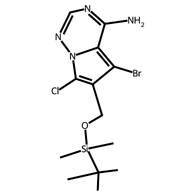 CC(C)(C)[Si](C)(C)OCc1c(Br)c2c(N)ncnn2c1Cl